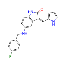 O=C1Nc2ccc(NCc3ccc(F)cc3)cc2/C1=C/c1ccc[nH]1